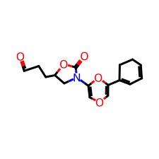 O=CCCC1CN(C2=COC=C(C3=CC=CCC3)O2)C(=O)O1